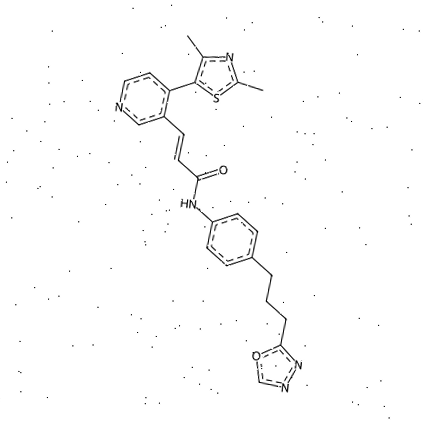 Cc1nc(C)c(-c2ccncc2/C=C/C(=O)Nc2ccc(CCCc3nnco3)cc2)s1